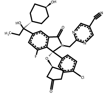 CCC(O)(c1cc(F)c2c(c1)C(=O)N(Cc1ncc(C#N)cn1)[C@@]2(O[C@H]1CCC(=O)C1)c1ccc(Cl)cc1)[C@H]1CC[C@H](O)CC1